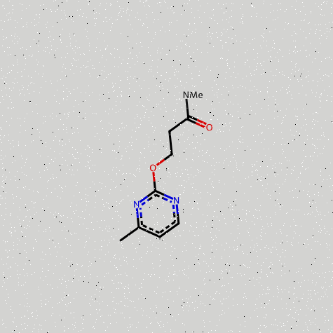 CNC(=O)CCOc1nc[c]c(C)n1